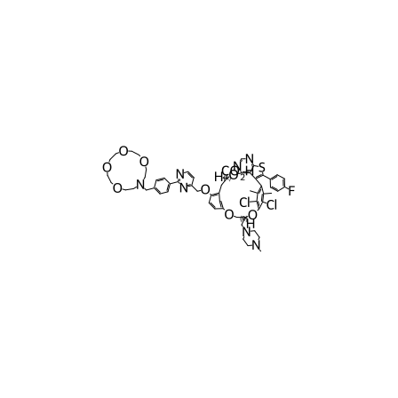 Cc1c(Cl)c2c(Cl)c(C)c1-c1c(-c3ccc(F)cc3)sc3ncnc(c13)O[C@@H](C(=O)O)Cc1cc(ccc1OCc1ccnc(-c3ccc(CN4CCOCCOCCOCCOCC4)cc3)n1)OC[C@@H](CN1CCN(C)CC1)O2